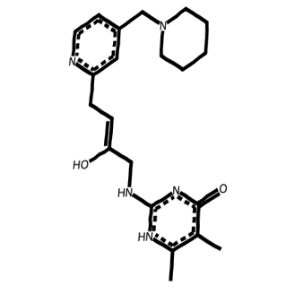 Cc1[nH]c(NC/C(O)=C/Cc2cc(CN3CCCCC3)ccn2)nc(=O)c1C